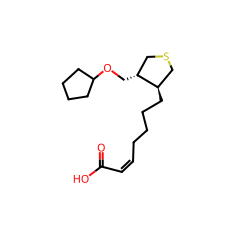 O=C(O)/C=C\CCCC[C@@H]1CSC[C@H]1COC1CCCC1